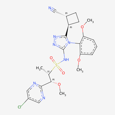 COc1cccc(OC)c1-n1c(NS(=O)(=O)[C@@H](C)[C@H](OC)c2ncc(Cl)cn2)nnc1[C@@H]1CC[C@H]1C#N